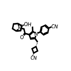 Cc1c(C(=O)CN2C3CCC2[C@@H](O)C3)cc(C[C@H]2C[C@@H](C#N)C2)n1-c1ccc(C#N)cc1